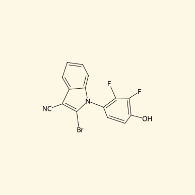 N#Cc1c(Br)n(-c2ccc(O)c(F)c2F)c2ccccc12